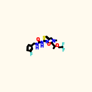 CC(OCC(F)F)C(=O)N(C)Cc1csc(NC(=O)NCc2cccc(F)c2)n1